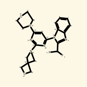 FC(F)c1nc2ccccc2n1-c1cc(N2CCOCC2)nc(N2CC3(COC3)C2)n1